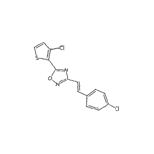 Clc1ccc(C=Cc2noc(-c3sccc3Cl)n2)cc1